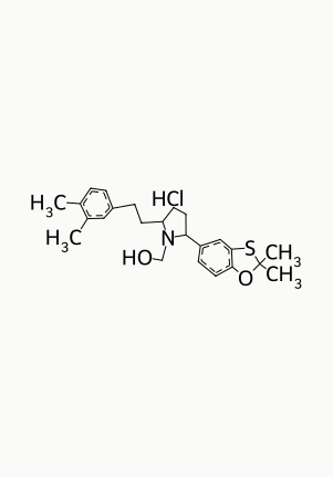 Cc1ccc(CCC2CCC(c3ccc4c(c3)SC(C)(C)O4)N2CO)cc1C.Cl